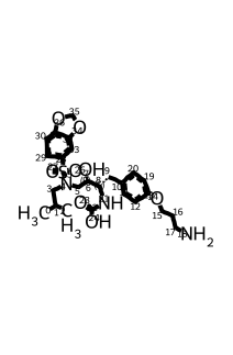 CC(C)CN(C[C@@H](O)[C@H](Cc1ccc(OCCCN)cc1)NC(=O)O)S(=O)(=O)c1ccc2c(c1)OCO2